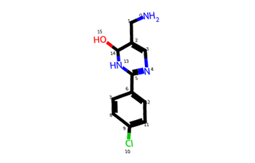 NCC1=CN=C(c2ccc(Cl)cc2)NC1O